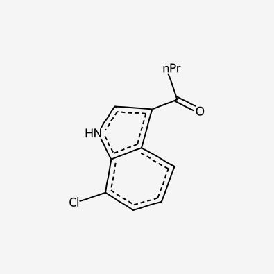 CCCC(=O)c1c[nH]c2c(Cl)cccc12